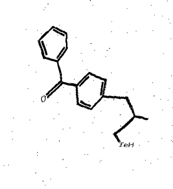 CC(C[TeH])Cc1ccc(C(=O)c2ccccc2)cc1